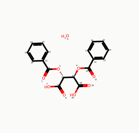 O.O=C(O[C@@H](C(=O)O)[C@@H](OC(=O)c1ccccc1)C(=O)O)c1ccccc1